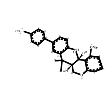 COc1cccc2c1[C@H]1Nc3ccc(-c4ccc(C(=O)O)cc4)cc3C(C)(C)[C@H]1CO2